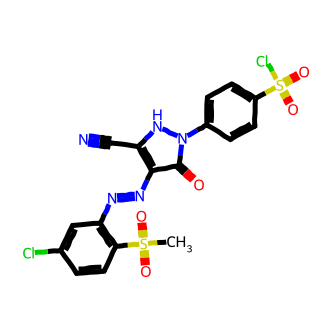 CS(=O)(=O)c1ccc(Cl)cc1N=Nc1c(C#N)[nH]n(-c2ccc(S(=O)(=O)Cl)cc2)c1=O